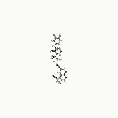 CC(C)n1cnc2cnc3ccc(C#CCNC(=O)c4cncn(Cc5ccc(F)c(F)c5)c4=O)cc3c21